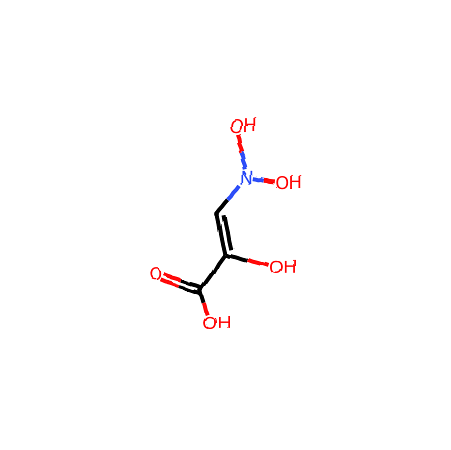 O=C(O)C(O)=CN(O)O